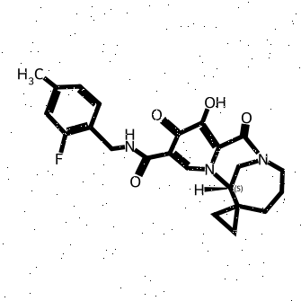 Cc1ccc(CNC(=O)c2cn3c(c(O)c2=O)C(=O)N2CCCC4(CC4)[C@H]3C2)c(F)c1